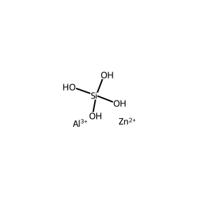 O[Si](O)(O)O.[Al+3].[Zn+2]